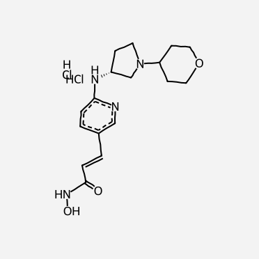 Cl.Cl.O=C(C=Cc1ccc(N[C@@H]2CCN(C3CCOCC3)C2)nc1)NO